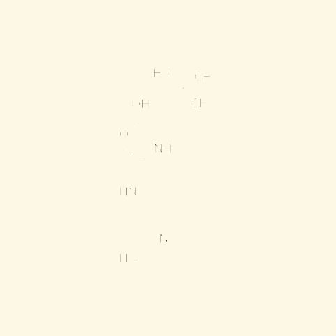 Cc1cc2[nH]c(C(=O)NC(C=CC(C)(C)C)C(=O)O)cc2cn1